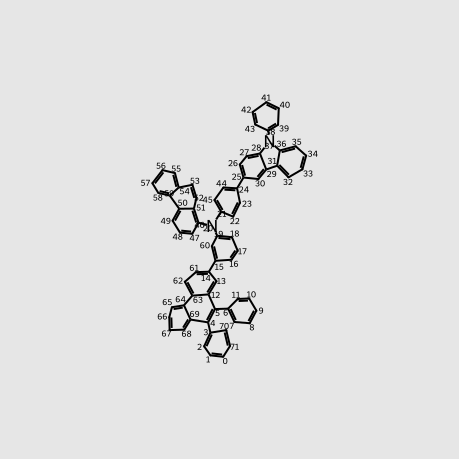 c1ccc(-c2c(-c3ccccc3)c3cc(-c4cccc(N(c5ccc(-c6ccc7c(c6)c6ccccc6n7-c6ccccc6)cc5)c5cccc6c5ccc5ccccc56)c4)ccc3c3ccccc23)cc1